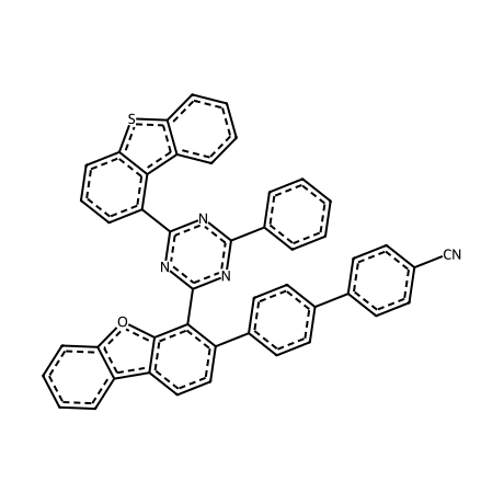 N#Cc1ccc(-c2ccc(-c3ccc4c(oc5ccccc54)c3-c3nc(-c4ccccc4)nc(-c4cccc5sc6ccccc6c45)n3)cc2)cc1